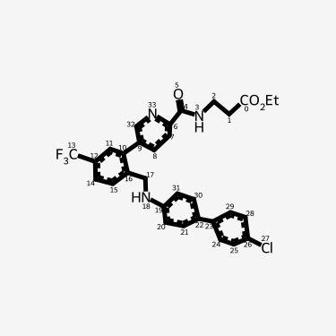 CCOC(=O)CCNC(=O)c1ccc(-c2cc(C(F)(F)F)ccc2CNc2ccc(-c3ccc(Cl)cc3)cc2)cn1